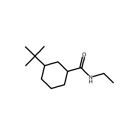 CCNC(=O)C1CCCC(C(C)(C)C)C1